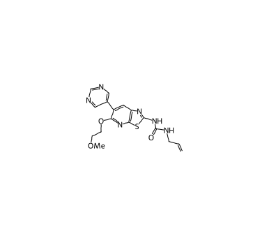 C=CCNC(=O)Nc1nc2cc(-c3cncnc3)c(OCCOC)nc2s1